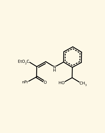 CCCC(=O)C(=CNc1ccccc1C(C)O)C(=O)OCC